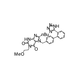 CCCCc1nc2[nH]c(=O)n(CCOC)c(=O)c2n1Cc1ccc(-c2ccccc2-c2nnn[nH]2)cc1